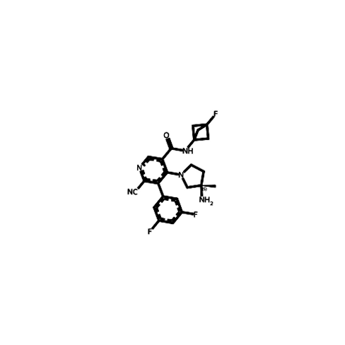 C[C@]1(N)CCN(c2c(C(=O)NC34CC(F)(C3)C4)cnc(C#N)c2-c2cc(F)cc(F)c2)C1